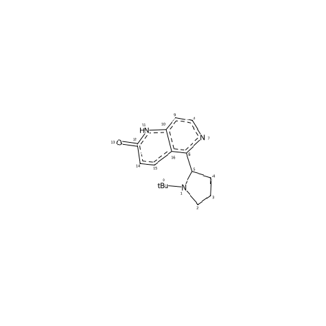 CC(C)(C)N1CCCC1c1nccc2[nH]c(=O)ccc12